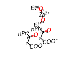 CCCC(=O)CC(=O)[O-].CCCC(=O)CC(=O)[O-].CC[O][Zr+2][O]CC